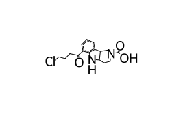 O=C(CCCCl)c1cccc2c1NC1CCN(C(=O)O)CC21